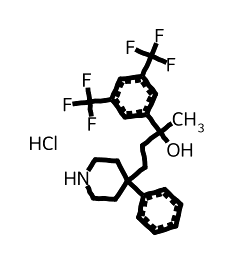 CC(O)(CCC1(c2ccccc2)CCNCC1)c1cc(C(F)(F)F)cc(C(F)(F)F)c1.Cl